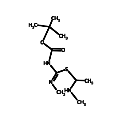 C/N=C(/NC(=O)OC(C)(C)C)SC(C)NC